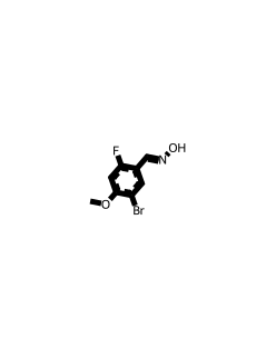 COc1cc(F)c(/C=N/O)cc1Br